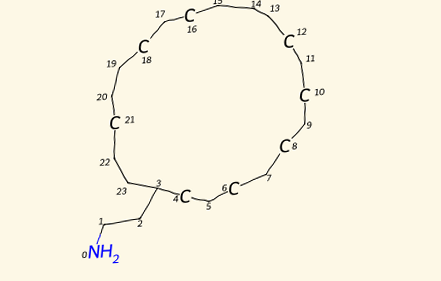 NCCC1CCCCCCCCCCCCCCCCCCCC1